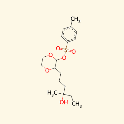 CCC(C)(O)CCCC1OCCOC1OS(=O)(=O)c1ccc(C)cc1